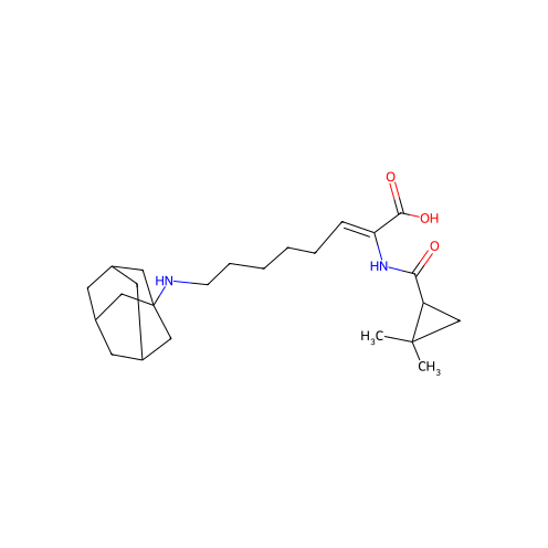 CC1(C)CC1C(=O)NC(=CCCCCCNC12CC3CC(CC(C3)C1)C2)C(=O)O